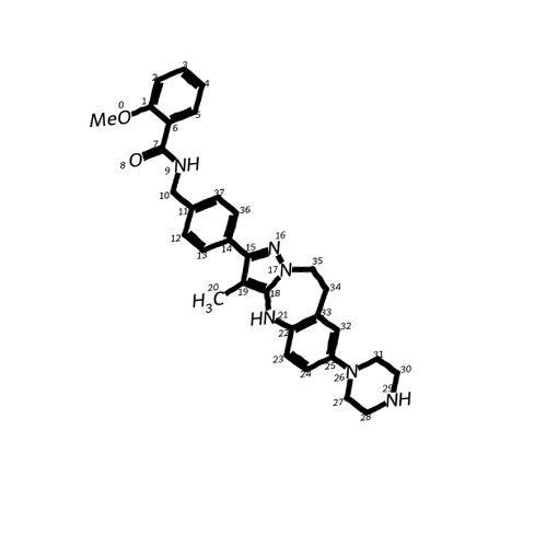 COc1ccccc1C(=O)NCc1ccc(-c2nn3c(c2C)Nc2ccc(N4CCNCC4)cc2CC3)cc1